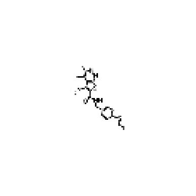 Cc1nnc2sc(C(=O)NCc3ccc(SCF)cc3)c(N)c2c1C